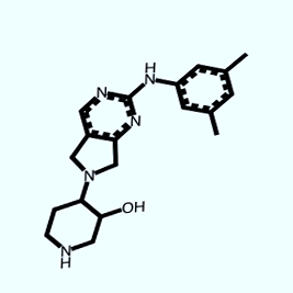 Cc1cc(C)cc(Nc2ncc3c(n2)CN(C2CCNCC2O)C3)c1